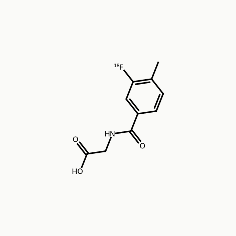 Cc1ccc(C(=O)NCC(=O)O)cc1[18F]